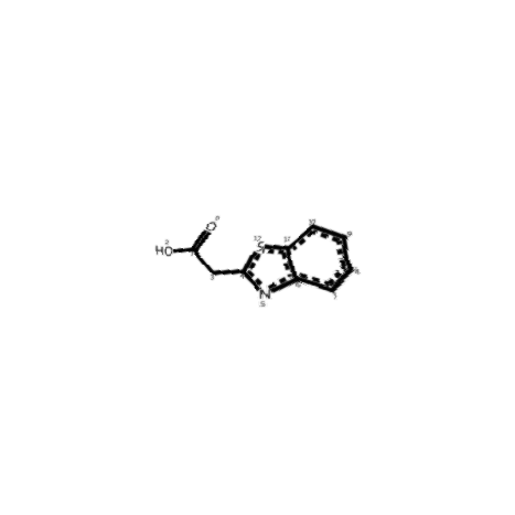 O=C(O)Cc1nc2ccccc2s1